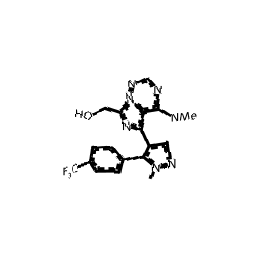 CNc1ncnn2c(CO)nc(-c3cnn(C)c3-c3ccc(C(F)(F)F)cc3)c12